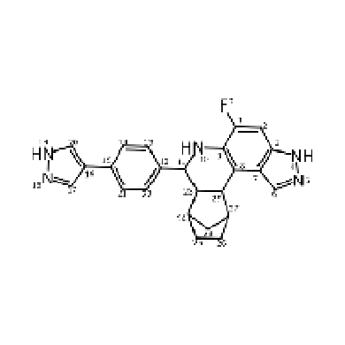 Fc1cc2[nH]ncc2c2c1NC(c1ccc(-c3cn[nH]c3)cc1)C1C3CCC(C3)C21